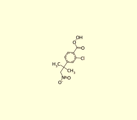 CC(C)(C[N+](=O)[O-])c1ccc(C(=O)OO)c(Cl)c1